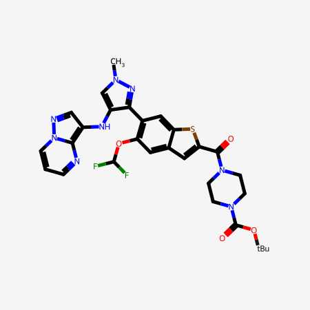 Cn1cc(Nc2cnn3cccnc23)c(-c2cc3sc(C(=O)N4CCN(C(=O)OC(C)(C)C)CC4)cc3cc2OC(F)F)n1